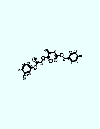 C=C(CC(=O)OCc1ccccc1)C(=O)OCC(=O)Oc1cccc(C)c1